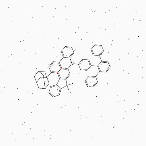 CC1(C)c2ccccc2-c2ccc(N(c3ccc(-c4c(-c5ccccc5)cccc4-c4ccccc4)cc3)c3ccccc3-c3ccc(C45CC6CC(CC(C6)C4)C5)cc3)cc21